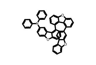 c1ccc(N(c2ccccc2)c2ccc3oc4cccc(-c5cccc6oc7cccc(-c8ccc9c(c8)oc8ccccc89)c7c56)c4c3c2)cc1